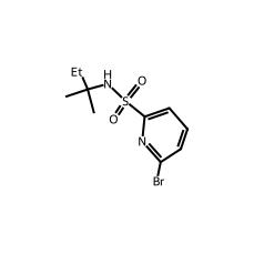 CCC(C)(C)NS(=O)(=O)c1cccc(Br)n1